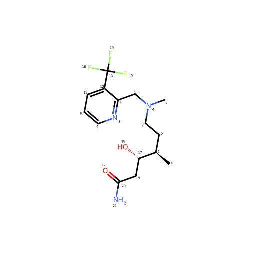 C[C@H](CCN(C)Cc1ncccc1C(F)(F)F)[C@@H](O)CC(N)=O